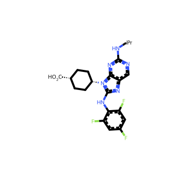 CC(C)Nc1ncc2nc(Nc3c(F)cc(F)cc3F)n([C@H]3CC[C@@H](C(=O)O)CC3)c2n1